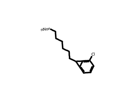 CCCCCCCCCCCCCCCC1c2cccc(Cl)c21